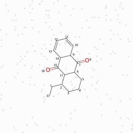 CCC1CCCC2C(=O)C3C=CC=CC3C(=O)C12